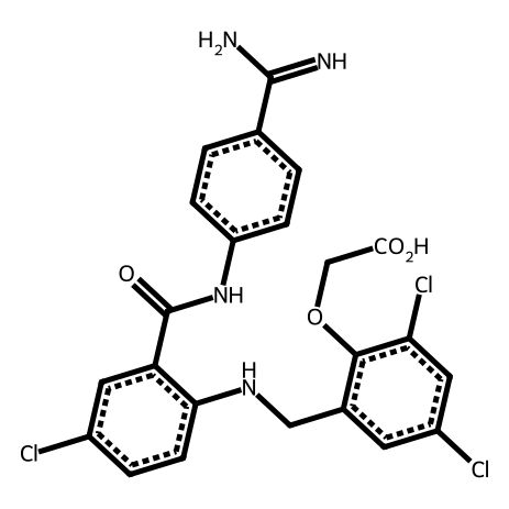 N=C(N)c1ccc(NC(=O)c2cc(Cl)ccc2NCc2cc(Cl)cc(Cl)c2OCC(=O)O)cc1